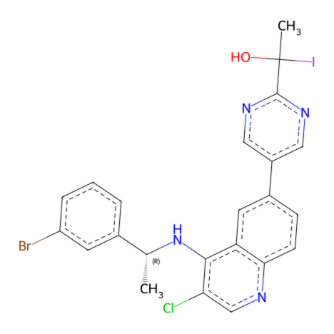 C[C@@H](Nc1c(Cl)cnc2ccc(-c3cnc(C(C)(O)I)nc3)cc12)c1cccc(Br)c1